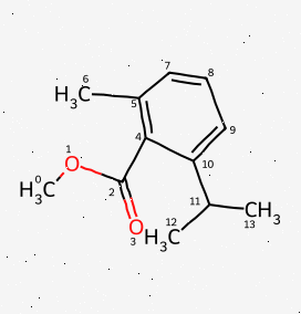 COC(=O)c1c(C)cccc1C(C)C